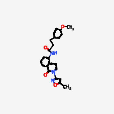 COc1ccc(CCC(=O)Nc2cccc3c(=O)n(-c4cc(C)on4)ccc23)cc1